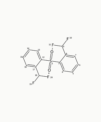 O=S(=O)(c1ccccc1C(F)F)c1ccccc1C(F)F